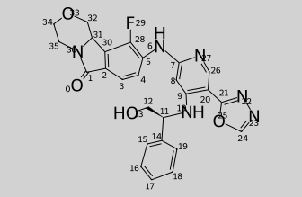 O=C1c2ccc(Nc3cc(N[C@H](CO)c4ccccc4)c(-c4nnco4)cn3)c(F)c2C2COCCN12